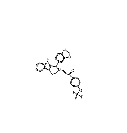 O=C(/C=C/N1CCc2c([nH]c3ccccc23)C1c1ccc2c(c1)OCO2)c1ccc(OC(F)(F)F)cc1